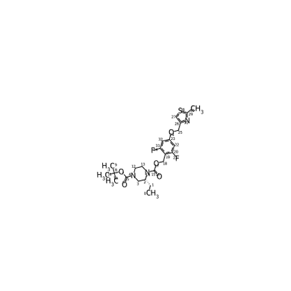 CC[C@@H]1CN(C(=O)OC(C)(C)C)CCN1C(=O)OCc1c(F)cc(OCc2csc(C)n2)cc1F